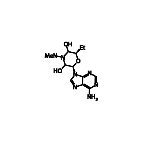 CC[C@H]1O[C@@H](n2cnc3c(N)ncnc32)C(O)N(NC)C1O